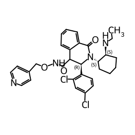 CCN[C@H]1CCCC[C@@H]1N1C(=O)c2ccccc2C(C(=O)NOCc2ccncc2)[C@@H]1c1ccc(Cl)cc1Cl